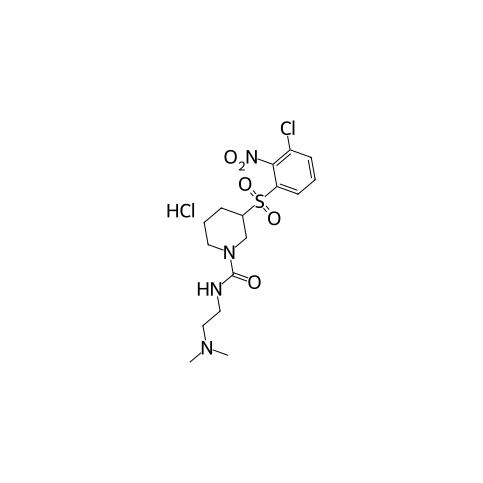 CN(C)CCNC(=O)N1CCCC(S(=O)(=O)c2cccc(Cl)c2[N+](=O)[O-])C1.Cl